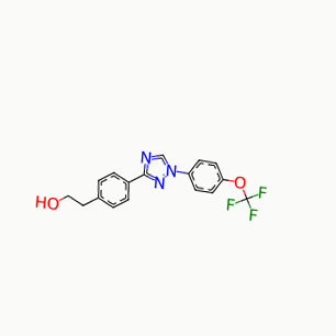 OCCc1ccc(-c2ncn(-c3ccc(OC(F)(F)F)cc3)n2)cc1